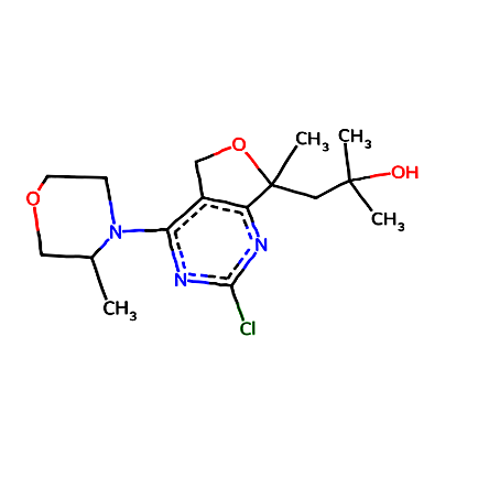 CC1COCCN1c1nc(Cl)nc2c1COC2(C)CC(C)(C)O